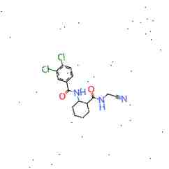 N#CCNC(=O)C1CCCCC1NC(=O)c1ccc(Cl)c(Cl)c1